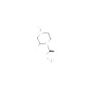 CC1CN(C)CCN1C(=O)OC(C)(C)C